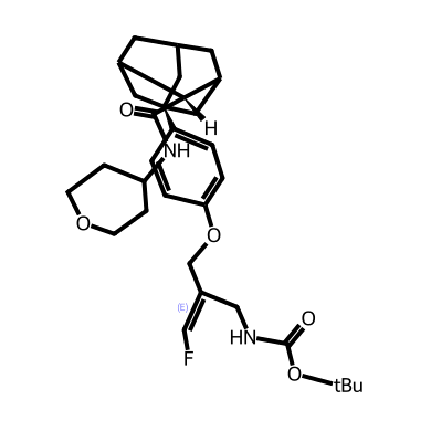 CC(C)(C)OC(=O)NC/C(=C\F)COc1ccc([C@]23CC4CC(C2)[C@@H](C(=O)NC2CCOCC2)C(C4)C3)cc1